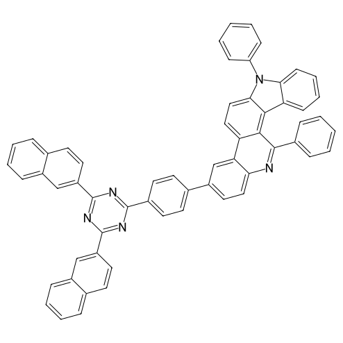 c1ccc(-c2nc3ccc(-c4ccc(-c5nc(-c6ccc7ccccc7c6)nc(-c6ccc7ccccc7c6)n5)cc4)cc3c3ccc4c(c5ccccc5n4-c4ccccc4)c23)cc1